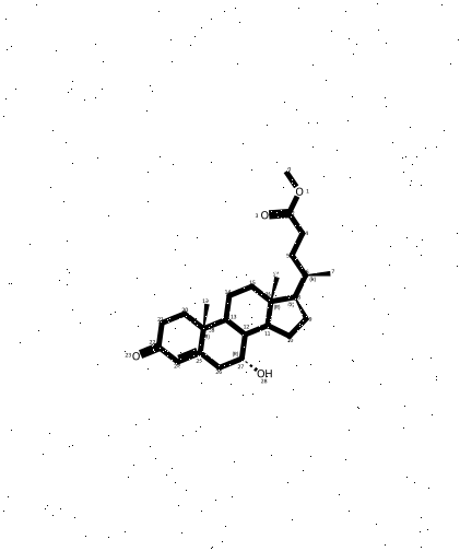 COC(=O)CC[C@@H](C)[C@H]1CCC2C3C(CC[C@@]21C)[C@@]1(C)CCC(=O)C=C1C[C@H]3O